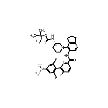 C[S+]([O-])c1cc(F)c(-c2nc(C(=O)Nc3cnc4c(c3N3CCC[C@H](NC(=O)OC(C)(C)C)C3)CC[CH]4)ccc2F)c(F)c1